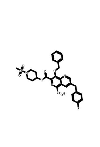 CS(=O)(=O)N1CCC(OC(=O)c2nc(C(=O)O)c3cc(Cc4ccc(F)cc4)cnc3c2OCc2ccccc2)CC1